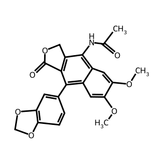 COc1cc2c(NC(C)=O)c3c(c(-c4ccc5c(c4)OCO5)c2cc1OC)C(=O)OC3